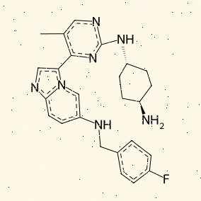 Cc1cnc(N[C@H]2CC[C@H](N)CC2)nc1-c1cnc2ccc(NCc3ccc(F)cc3)cn12